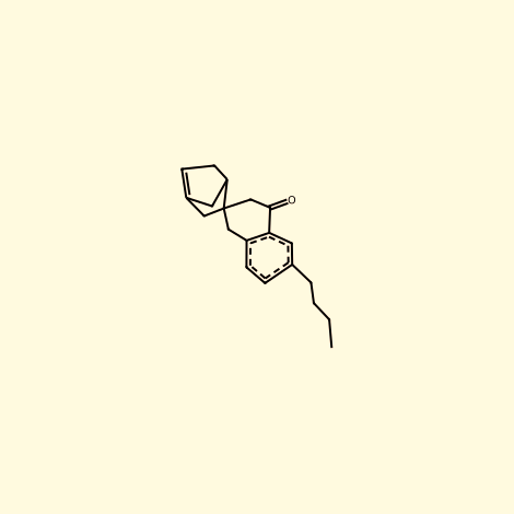 CCCCc1ccc2c(c1)C(=O)CC1(CC3=CCC1C3)C2